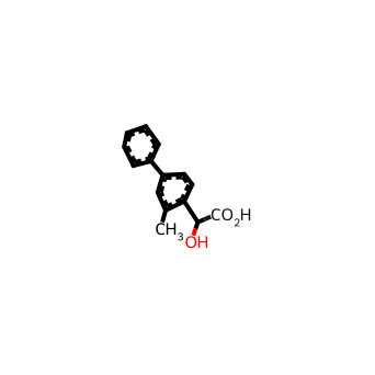 Cc1cc(-c2ccccc2)ccc1C(O)C(=O)O